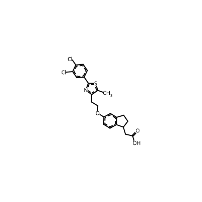 Cc1sc(-c2ccc(Cl)c(Cl)c2)nc1CCOc1ccc2c(c1)CCC2CC(=O)O